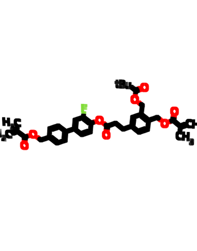 C=C(C)C(=O)OCc1ccc(-c2ccc(OC(=O)CCc3ccc(COC(=O)C(=C)C)c(COC(=O)C(C)(C)C)c3)c(F)c2)cc1